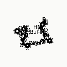 C[C@@H](C(=O)N[C@H](C(=O)N1CCC[C@H]1c1nc(C(=O)c2cccc(OCCOCCN3CC([C@@H](c4ccccc4)n4cc(NC(=O)c5n[nH]c6c5C[C@@H]5C(F)(F)[C@]5(C)C6)cn4)C3)c2)cs1)C1CCCCC1)N(C)C(=O)OC(C)(C)C